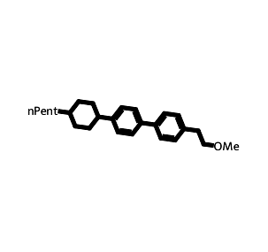 CCCCCC1CCC(c2ccc(-c3ccc(CCOC)cc3)cc2)CC1